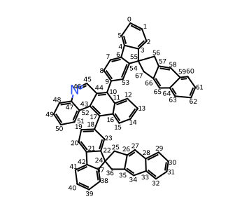 c1ccc2c(c1)-c1ccc(-c3c4ccccc4c(-c4ccc5c(c4)C4(Cc6cc7ccccc7cc6C4)c4ccccc4-5)c4c3cnc3ccccc34)cc1C21Cc2cc3ccccc3cc2C1